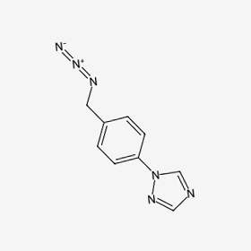 [N-]=[N+]=NCc1ccc(-n2cncn2)cc1